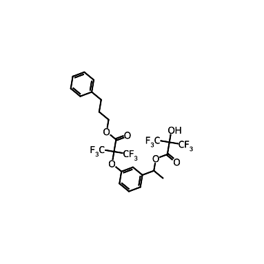 CC(OC(=O)C(O)(C(F)(F)F)C(F)(F)F)c1cccc(OC(C(=O)OCCCc2ccccc2)(C(F)(F)F)C(F)(F)F)c1